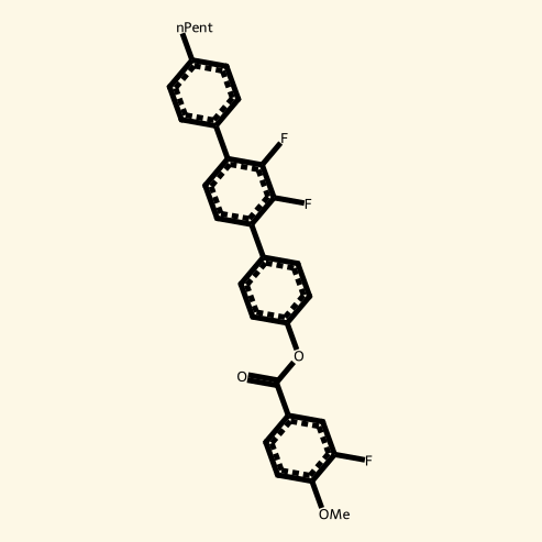 CCCCCc1ccc(-c2ccc(-c3ccc(OC(=O)c4ccc(OC)c(F)c4)cc3)c(F)c2F)cc1